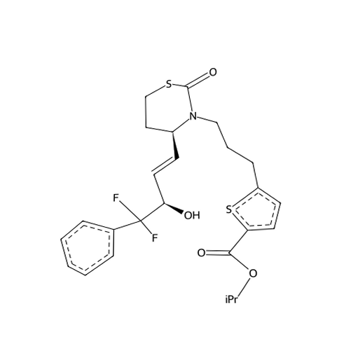 CC(C)OC(=O)c1ccc(CCCN2C(=O)SCC[C@@H]2C=C[C@@H](O)C(F)(F)c2ccccc2)s1